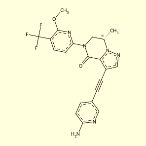 COc1nc(N2C[C@H](C)n3ncc(C#Cc4ccc(N)nc4)c3C2=O)ccc1C(F)(F)F